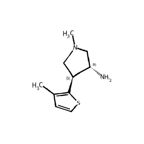 Cc1ccsc1[C@H]1CN(C)C[C@@H]1N